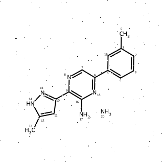 Cc1cccc(-c2cnc(-c3cc(C)[nH]n3)c(N)n2)c1.N